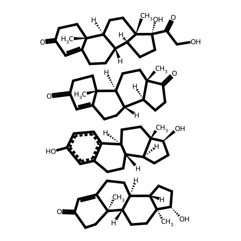 C[C@]12CCC(=O)C=C1CC[C@@H]1[C@@H]2CC[C@@]2(C)[C@H]1CC[C@]2(O)C(=O)CO.C[C@]12CCC(=O)C=C1CC[C@@H]1[C@@H]2CC[C@]2(C)C(=O)CC[C@@H]12.C[C@]12CC[C@@H]3c4ccc(O)cc4CC[C@H]3[C@@H]1CC[C@@H]2O.C[C@]12CC[C@H]3[C@@H](CCC4=CC(=O)CC[C@@]43C)[C@@H]1CC[C@@H]2O